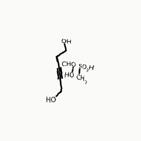 CS(=O)(=O)O.O=CO.OCC#CCCO